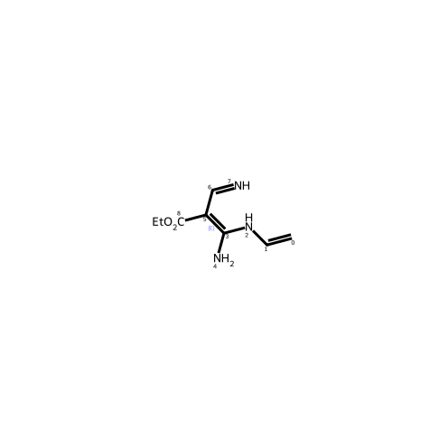 C=CN/C(N)=C(\C=N)C(=O)OCC